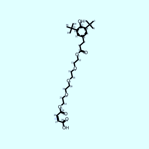 CC(C)(C)c1cc(CCC(=O)OCCOCCOCCOCCOC(=O)/C=C\C(=O)O)cc(C(C)(C)C)c1O